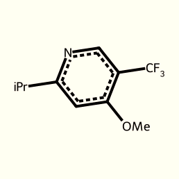 COc1cc(C(C)C)ncc1C(F)(F)F